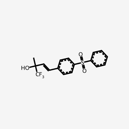 CC(O)(C=Cc1ccc(S(=O)(=O)c2ccccc2)cc1)C(F)(F)F